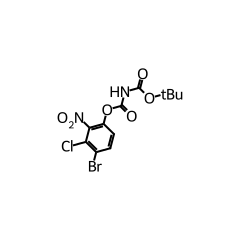 CC(C)(C)OC(=O)NC(=O)Oc1ccc(Br)c(Cl)c1[N+](=O)[O-]